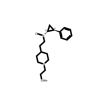 COCCN1CCC(CCN(Cl)[C@@H]2C[C@H]2c2ccccc2)CC1